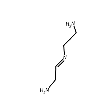 NC/C=N/CCN